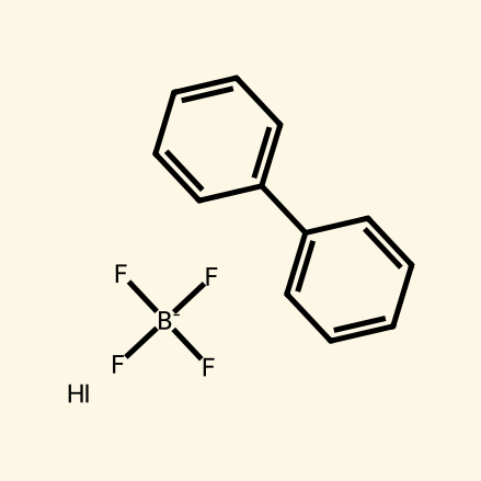 F[B-](F)(F)F.I.c1ccc(-c2ccccc2)cc1